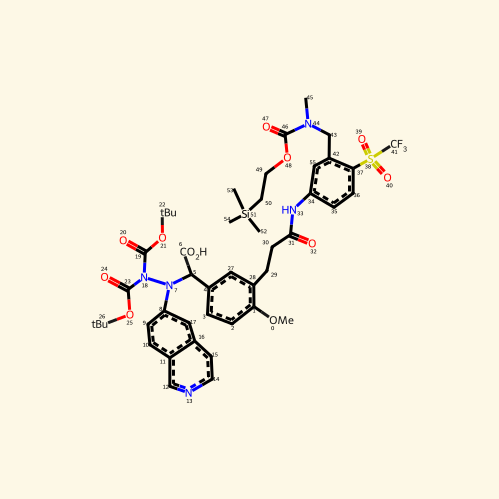 COc1ccc(C(C(=O)O)N(c2ccc3cnccc3c2)N(C(=O)OC(C)(C)C)C(=O)OC(C)(C)C)cc1CCC(=O)Nc1ccc(S(=O)(=O)C(F)(F)F)c(CN(C)C(=O)OCC[Si](C)(C)C)c1